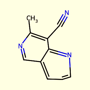 Cc1ncc2cccnc2c1C#N